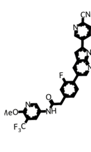 COc1ncc(NC(=O)Cc2ccc(-c3cnc4[nH]c(-c5ccc(C#N)nc5)cc4c3)c(F)c2)cc1C(F)(F)F